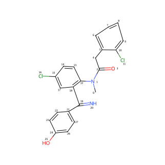 CN(C(=O)Cc1ccccc1Cl)c1ccc(Cl)cc1C(=N)c1ccc(O)cc1